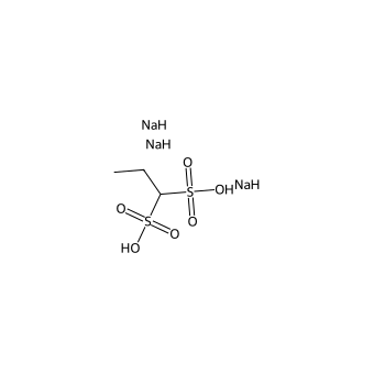 CCC(S(=O)(=O)O)S(=O)(=O)O.[NaH].[NaH].[NaH]